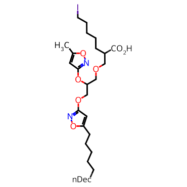 CCCCCCCCCCCCCCCc1cc(OCC(COCC(CCCCCI)C(=O)O)Oc2cc(C)on2)no1